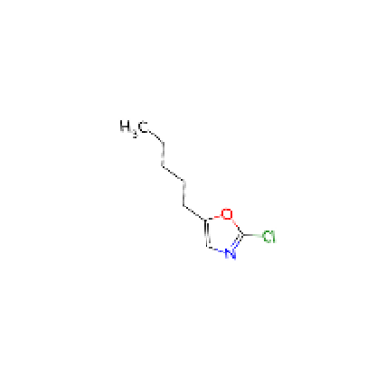 CCCCCc1cnc(Cl)o1